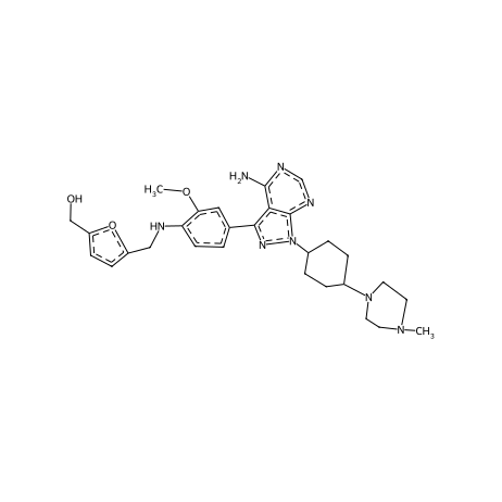 COc1cc(-c2nn(C3CCC(N4CCN(C)CC4)CC3)c3ncnc(N)c23)ccc1NCc1ccc(CO)o1